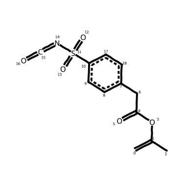 C=C(C)OC(=O)Cc1ccc(S(=O)(=O)N=C=O)cc1